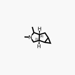 CC1[C@@H]2CC3CC3[C@@H]2CN1C